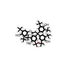 CC(C)(C)c1cc(OC(=O)CC(c2cc(C(C)(C)C)c(O)c(C(C)(C)C)c2)(c2cc(C(C)(C)C)c(O)c(C(C)(C)C)c2)c2cc(C(C)(C)C)c(O)c(C(C)(C)C)c2)cc(C(C)(C)C)c1O